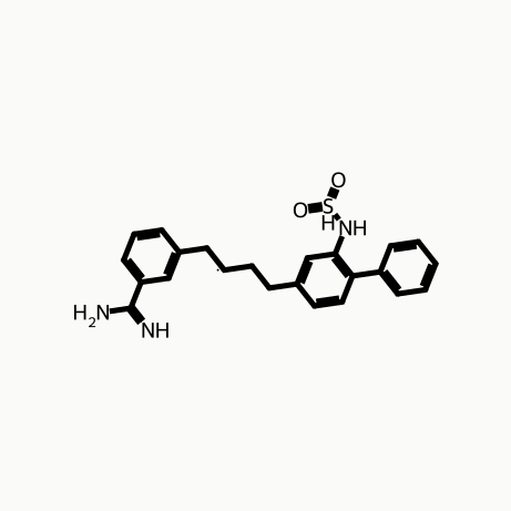 N=C(N)c1cccc(C[CH]CCc2ccc(-c3ccccc3)c(N[SH](=O)=O)c2)c1